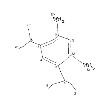 CC(C)c1cc(C(C)C)c(N)cc1N